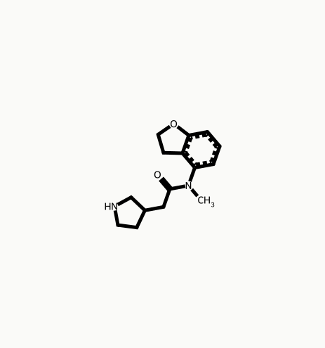 CN(C(=O)CC1CCNC1)c1cccc2c1CCO2